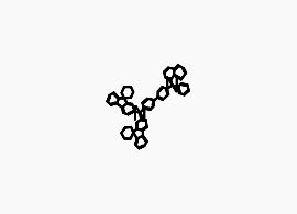 c1ccc(N(c2ccc(-c3ccc(N(c4ccc5c(c4)C4(CCCCC4)c4ccccc4-5)c4ccc5c(c4)C4(CCCCC4)c4ccccc4-5)cc3)cc2)c2cccc3ccccc23)cc1